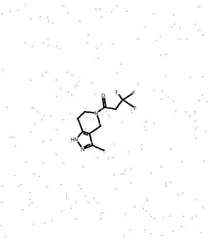 Cc1n[nH]c2c1CN(C(=O)CC(F)(F)F)CC2